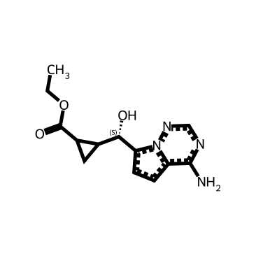 CCOC(=O)C1CC1[C@H](O)c1ccc2c(N)ncnn12